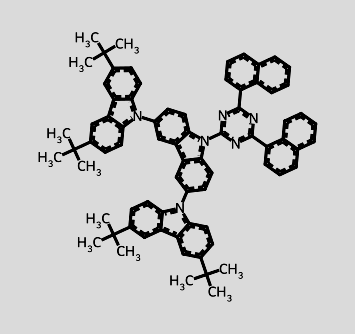 CC(C)(C)c1ccc2c(c1)c1cc(C(C)(C)C)ccc1n2-c1ccc2c(c1)c1cc(-n3c4ccc(C(C)(C)C)cc4c4cc(C(C)(C)C)ccc43)ccc1n2-c1nc(-c2cccc3ccccc23)nc(-c2cccc3ccccc23)n1